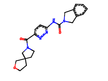 O=C(Nc1ccc(C(=O)N2CCC3(CCOC3)C2)nn1)N1Cc2ccccc2C1